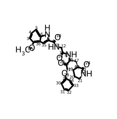 COc1cccc2[nH]c(C(=O)NCC(=O)N[C@@H](C[C@@H]3CCCNC3=O)C(=O)COc3ccccc3)cc12